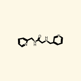 O=C(CNCc1cccnc1)NCc1ccccn1